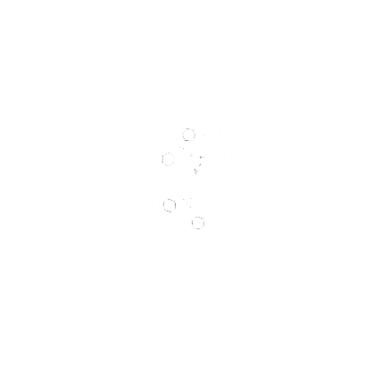 COc1ccc(CN(Cc2ccc(OC)cc2)S(=O)(=O)CCC/C=C/[C@H](O)[C@@H]2CC[C@H]2CN2CC3(CCCc4cc(Cl)ccc43)COc3ccc(C(=O)OC(C)(C)C)cc32)cc1